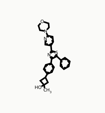 CC1(O)CC(c2ccc(-c3nc(-c4ccc(N5CCOCC5)nc4)sc3-c3ccccc3)cc2)C1